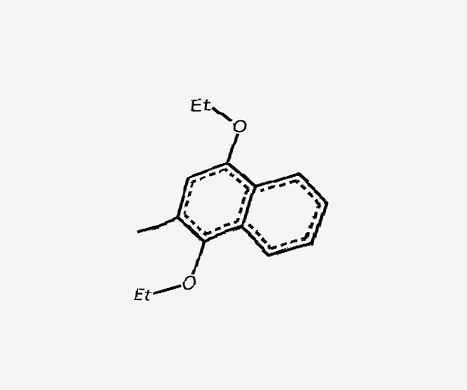 CCOc1cc(C)c(OCC)c2ccccc12